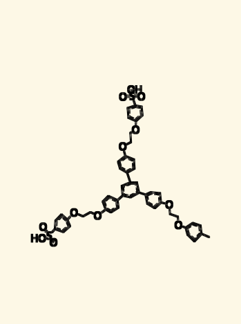 Cc1ccc(OCCOc2ccc(-c3cc(-c4ccc(OCCOc5ccc(S(=O)(=O)O)cc5)cc4)cc(-c4ccc(OCCOc5ccc(S(=O)(=O)O)cc5)cc4)c3)cc2)cc1